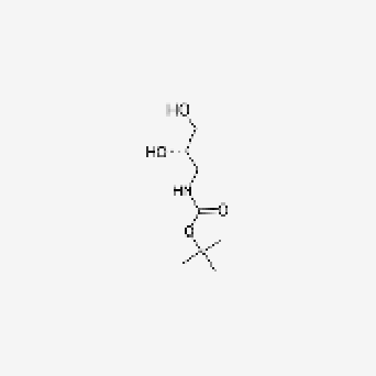 CC(C)(C)OC(=O)NC[C@H](O)CO